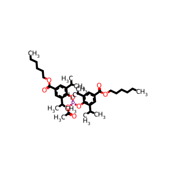 CCCCCCOC(=O)c1cc(C(C)C)c(OP(OC(C)=O)Oc2c(C(C)C)cc(C(=O)OCCCCCC)cc2C(C)C)c(C(C)C)c1